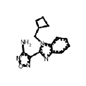 Nc1nonc1-c1nc2ccccc2n1CC1CCC1